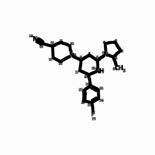 CC1CCCN1C1CC(N2CCC(C#N)CC2)CC(c2ccc(F)cc2)N1